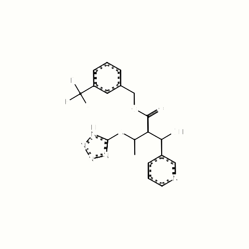 CC(Sc1nnn[nH]1)C(C(=O)OCc1cccc(C(F)(F)F)c1)C(O)c1cccnc1